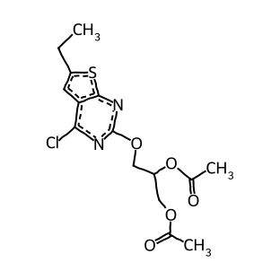 CCc1cc2c(Cl)nc(OCC(COC(C)=O)OC(C)=O)nc2s1